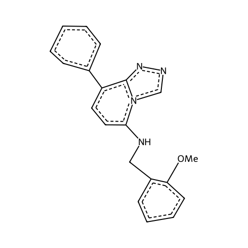 COc1ccccc1CNc1ccc(-c2ccccc2)c2nncn12